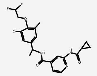 Cc1cc(C(C)NC(=O)c2ccnc(NC(=O)C3CC3)c2)cc(Cl)c1OCC(F)F